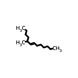 CCCCCCC=C[C](C)CCCC